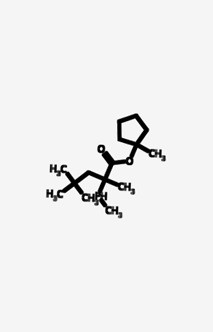 CPC(C)(CC(C)(C)C)C(=O)OC1(C)CCCC1